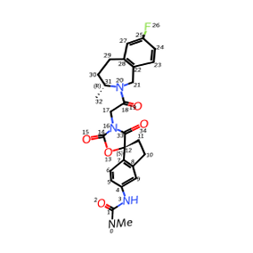 CNC(=O)Nc1ccc2c(c1)CC[C@]21OC(=O)N(CC(=O)N2Cc3ccc(F)cc3CC[C@H]2C)C1=O